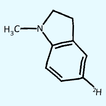 [2H]c1ccc2c(c1)CCN2C